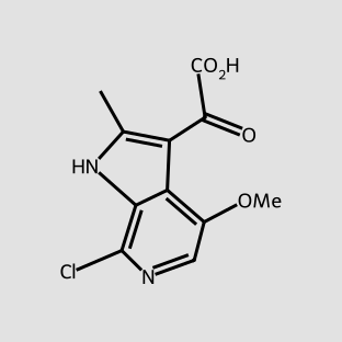 COc1cnc(Cl)c2[nH]c(C)c(C(=O)C(=O)O)c12